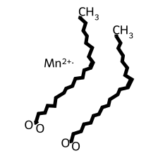 CCCCCCCC/C=C\CCCCCCCCCCCC(=O)[O-].CCCCCCCC/C=C\CCCCCCCCCCCC(=O)[O-].[Mn+2]